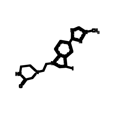 Cn1cnc(-c2ccc3c(c2)c(I)cn3CCN2CCNC(=O)C2)n1